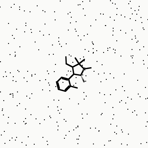 CCC1C(c2ccccc2C)[C@@H](C)N(C)C1(C)C